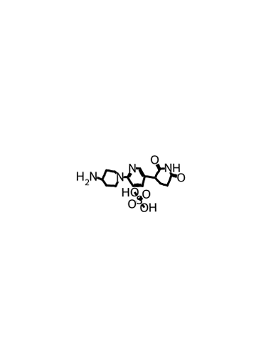 NC1CCN(c2ccc(C3CCC(=O)NC3=O)cn2)CC1.O=S(=O)(O)O